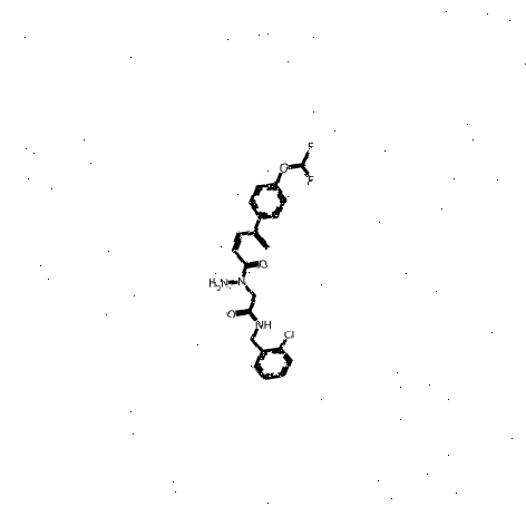 C=C(/C=C\C(=O)N(N)CC(=O)NCc1ccccc1Cl)c1ccc(OC(F)F)cc1